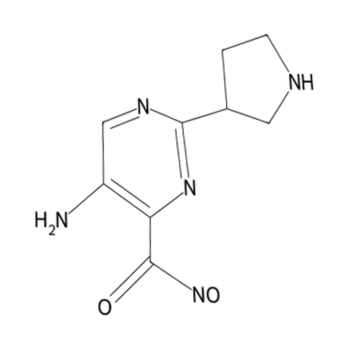 Nc1cnc(C2CCNC2)nc1C(=O)N=O